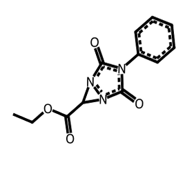 CCOC(=O)C1n2c(=O)n(-c3ccccc3)c(=O)n21